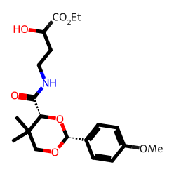 CCOC(=O)C(O)CCNC(=O)[C@@H]1O[C@H](c2ccc(OC)cc2)OCC1(C)C